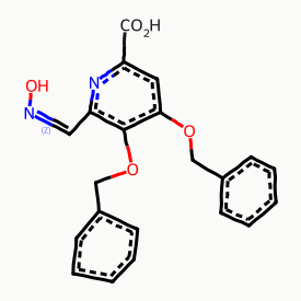 O=C(O)c1cc(OCc2ccccc2)c(OCc2ccccc2)c(/C=N\O)n1